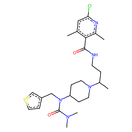 Cc1cc(Cl)nc(C)c1C(=O)NCCC(C)N1CCC(N(Cc2ccsc2)C(=O)N(C)C)CC1